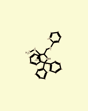 COC(=O)C(COc1ccccn1)NC(c1ccccc1)(c1ccccc1)c1ccccc1